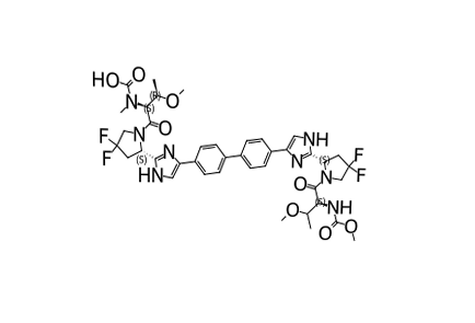 COC(=O)N[C@H](C(=O)N1CC(F)(F)C[C@H]1c1nc(-c2ccc(-c3ccc(-c4c[nH]c([C@@H]5CC(F)(F)CN5C(=O)[C@H]([C@@H](C)OC)N(C)C(=O)O)n4)cc3)cc2)c[nH]1)C(C)OC